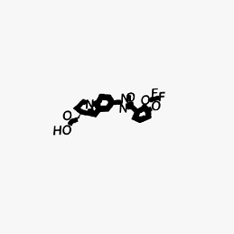 O=C(O)C[C@@H]1CCn2c1cc1cc(-c3noc(-c4cccc5c4OC(F)(F)O5)n3)ccc12